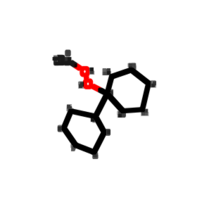 CC(C)(C)OOC1(C2CCCCC2)CCCCC1